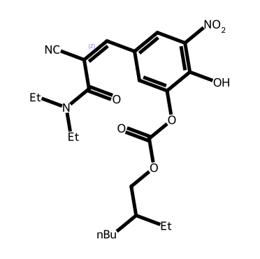 CCCCC(CC)COC(=O)Oc1cc(/C=C(/C#N)C(=O)N(CC)CC)cc([N+](=O)[O-])c1O